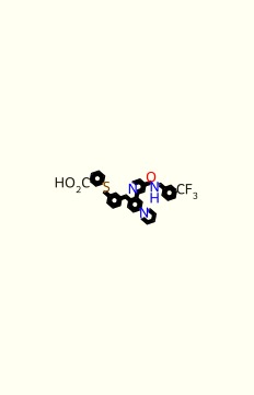 O=C(O)c1cccc(SCc2cccc(Cc3ccc(N4CCCCC4)cc3-c3cc(C(=O)NCc4cccc(C(F)(F)F)c4)ccn3)c2)c1